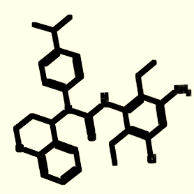 CCc1c(N)cc(Cl)c(CC)c1NC(=O)N(c1ccc(C(C)C)cc1)C1CCOc2ccccc21